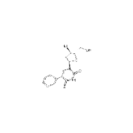 O=c1[nH]c(=S)c(-c2ccccc2)cn1[C@H]1C[C@@H](O)[C@H](CO)O1